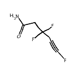 NC(=O)CC(F)(F)C#CF